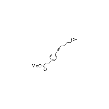 COC(=O)CCc1ccc(C#CCCCCO)cc1